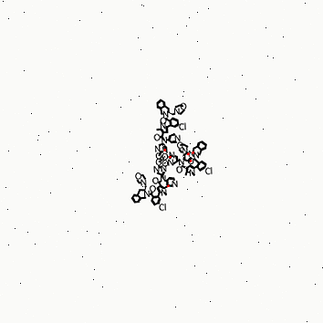 Cc1c(C(=O)N(c2ccncc2)c2cnc(OP(=O)(Oc3ncc(N(C(=O)c4cc(-c5cc(Cl)ccc5C(=O)N5Cc6ccccc6C[C@H]5CN5CCOCC5)n(C)c4C)c4ccncc4)cn3)Oc3ncc(N(C(=O)c4cc(-c5cc(Cl)ccc5C(=O)N5Cc6ccccc6C[C@H]5CN5CCOCC5)n(C)c4C)c4ccncc4)cn3)nc2)cc(-c2cc(Cl)ccc2C(=O)N2Cc3ccccc3C[C@H]2CN2CCOCC2)n1C